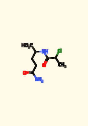 CC(Cl)C(=O)NC(CCC(N)=O)C(=O)O